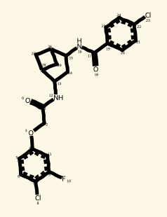 O=C(COc1ccc(Cl)c(F)c1)NC1CC(NC(=O)c2ccc(Cl)cc2)C2CC1C2